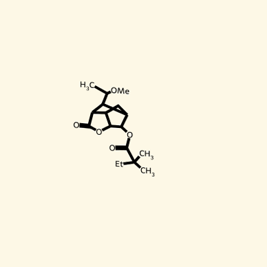 CCC(C)(C)C(=O)OC1C2CC3C1OC(=O)C3C2C(C)OC